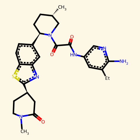 CCc1cc(NC(=O)C(=O)N2C[C@@H](C)CC[C@@H]2c2ccc3sc([C@@H]4CCN(C)C(=O)C4)nc3c2)cnc1N